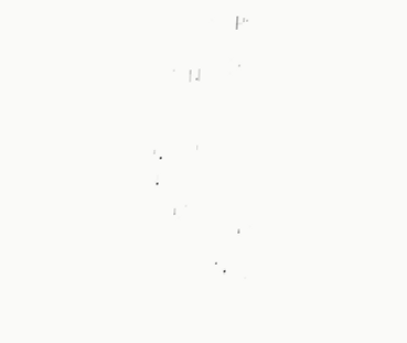 CC(C)SC1CC(=O)N(CCC(=O)NN(C)COCCC(N)=O)C1=O